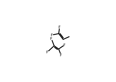 CC=C(F)F.FC(F)=C(F)F